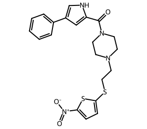 O=C(c1cc(-c2ccccc2)c[nH]1)N1CCN(CCSc2ccc([N+](=O)[O-])s2)CC1